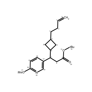 C=CCCC1CC(C(CC(=O)OC(C)(C)C)c2ccc(OC)nc2)C1